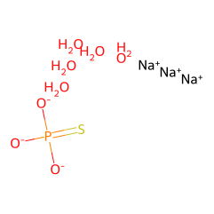 O.O.O.O.O.[Na+].[Na+].[Na+].[O-]P([O-])([O-])=S